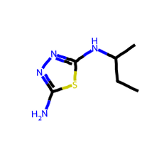 CCC(C)Nc1nnc(N)s1